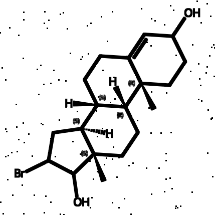 C[C@]12CCC(O)C=C1CC[C@@H]1[C@H]2CC[C@]2(C)C(O)C(Br)C[C@@H]12